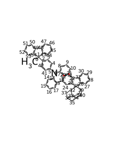 CC1(c2ccc(N(c3ccccc3)c3ccccc3-c3ccc4c(c3)C3(c5ccccc5-4)C4CC5CC(C4)CC3C5)cc2)c2ccccc2-c2ccccc21